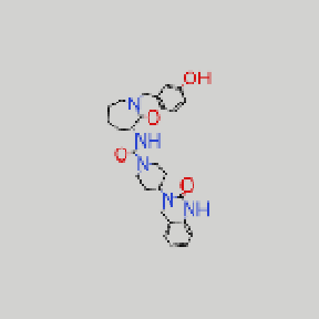 O=C(N[C@@H]1CCCCN(Cc2cccc(O)c2)C1=O)N1CCC(N2Cc3ccccc3NC2=O)CC1